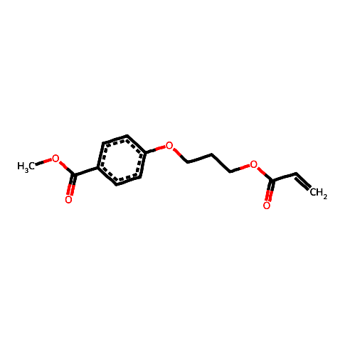 C=CC(=O)OCCCOc1ccc(C(=O)OC)cc1